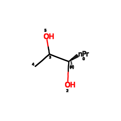 CCC[C@@H](O)C(C)O